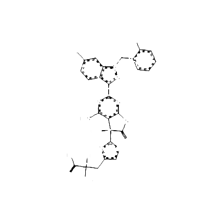 CC(C)(Cc1coc([C@@]2(C)C(=O)Nc3nc(-c4nn(Cc5ccccc5F)c5cc(Cl)ccc45)nc(N)c32)n1)C(=O)O